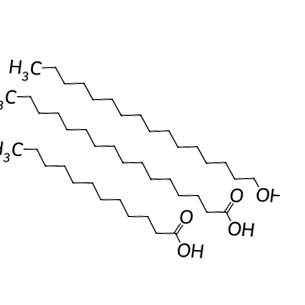 CCCCCCCCCCCC(=O)O.CCCCCCCCCCCCCCCC(=O)O.CCCCCCCCCCCCCCCCO